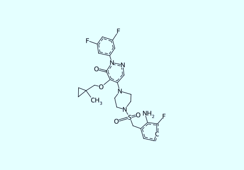 CC1(COc2c(N3CCN(S(=O)(=O)Cc4cccc(F)c4N)CC3)cnn(-c3cc(F)cc(F)c3)c2=O)CC1